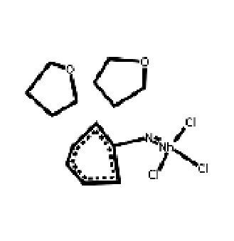 C1CCOC1.C1CCOC1.[Cl][Nb]([Cl])([Cl])=[N]c1ccccc1